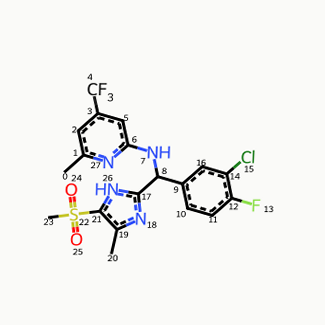 Cc1cc(C(F)(F)F)cc(NC(c2ccc(F)c(Cl)c2)c2nc(C)c(S(C)(=O)=O)[nH]2)n1